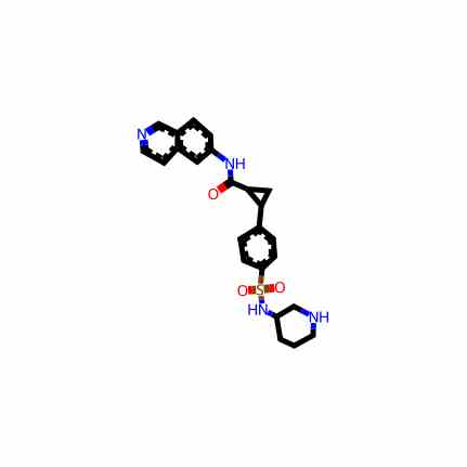 O=C(Nc1ccc2cnccc2c1)C1CC1c1ccc(S(=O)(=O)NC2CCCNC2)cc1